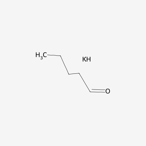 CCCCC=O.[KH]